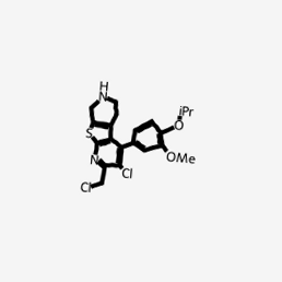 COc1cc(-c2c(Cl)c(CCl)nc3sc4c(c23)CCNC4)ccc1OC(C)C